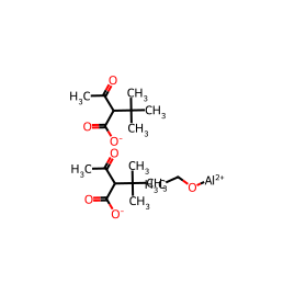 CC(=O)C(C(=O)[O-])C(C)(C)C.CC(=O)C(C(=O)[O-])C(C)(C)C.CC[O][Al+2]